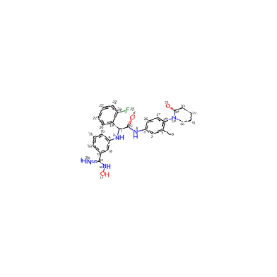 Cc1cc(NC(=O)C(Nc2cccc(C(=N)NO)c2)c2ccccc2F)ccc1N1CCCCC1=O